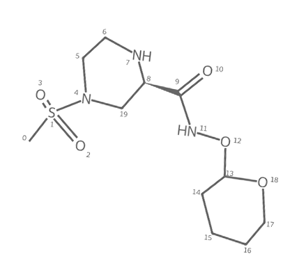 CS(=O)(=O)N1CCN[C@@H](C(=O)NOC2CCCCO2)C1